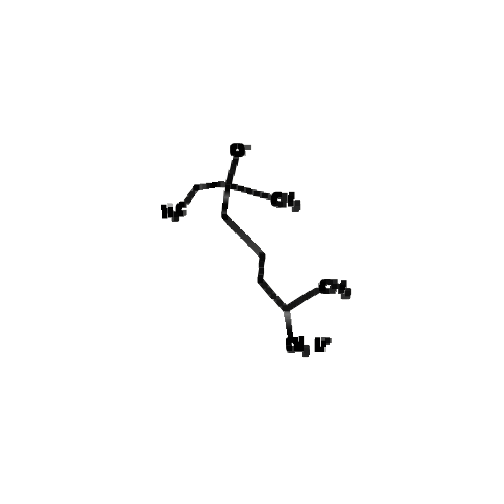 CCC(C)([O-])CCCC(C)C.[Li+]